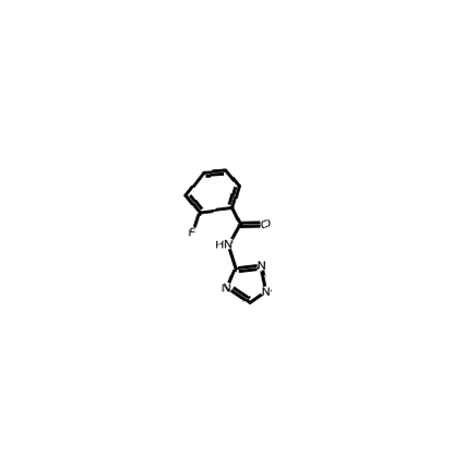 O=C(NC1=N[N]C=N1)c1ccccc1F